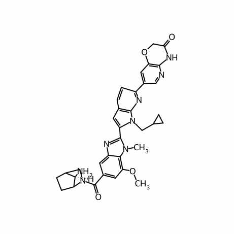 COc1cc(C(=O)N2CC3CCC2[C@@H]3N)cc2nc(-c3cc4ccc(-c5cnc6c(c5)OCC(=O)N6)nc4n3CC3CC3)n(C)c12